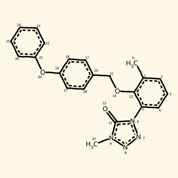 Cc1cccc(-n2nnn(C)c2=O)c1OCc1ccc(Oc2ccccc2)cc1